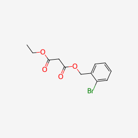 CCOC(=O)CC(=O)OCc1ccccc1Br